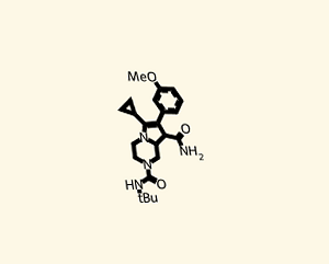 COc1cccc(C2=C(C3CC3)N3CCN(C(=O)NC(C)(C)C)CC3C2C(N)=O)c1